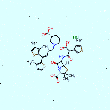 CC1(C)S[C@@H]2[C@H](NC(=O)C(C(=O)[O-])c3ccsc3)C(=O)N2[C@H]1C(=O)[O-].Cc1ccsc1C(=CCCN1CCC[C@@H](C(=O)O)C1)c1sccc1C.Cl.[Na+].[Na+]